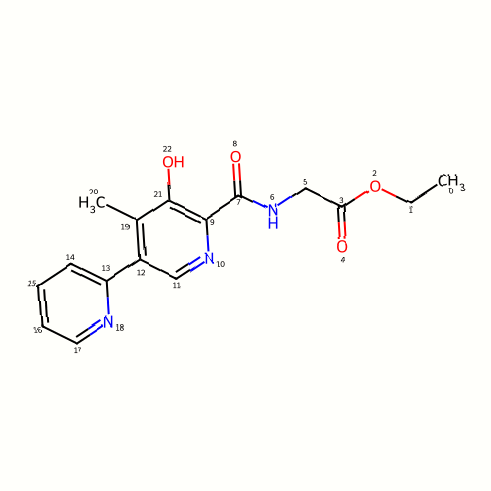 CCOC(=O)CNC(=O)c1ncc(-c2ccccn2)c(C)c1O